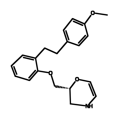 COc1ccc(CCc2ccccc2OC[C@H]2CNC=CO2)cc1